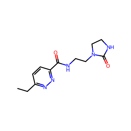 CCc1ccc(C(=O)NCCN2CCNC2=O)nn1